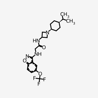 CC(C)[C@H]1CC[C@@H](N2CC(NC(=O)CNc3noc4ccc(OC(F)(F)F)cc34)C2)CC1